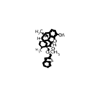 COC1[C@@H]2Oc3c(O)ccc4c3[C@@]23CCN(C)[C@H](C4)[C@]32CCC(C)[C@]1(COCc1cc3ccccc3s1)C2